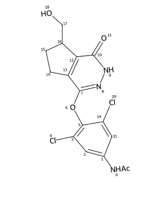 CC(=O)Nc1cc(Cl)c(Oc2n[nH]c(=O)c3c2CCC3CO)c(Cl)c1